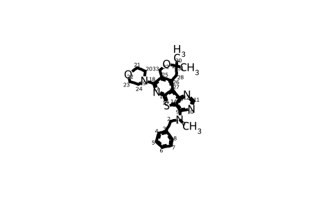 CN(Cc1ccccc1)c1ncnc2c1sc1nc(N3CCOCC3)c3c(c12)CC(C)(C)OC3